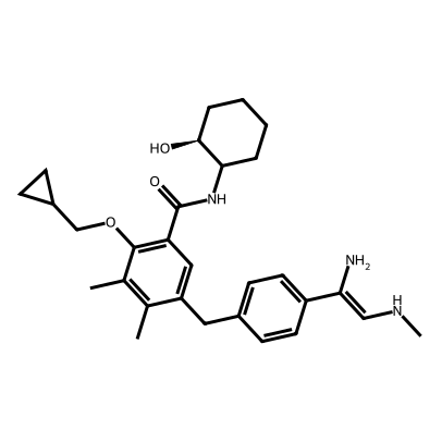 CN/C=C(\N)c1ccc(Cc2cc(C(=O)NC3CCCC[C@@H]3O)c(OCC3CC3)c(C)c2C)cc1